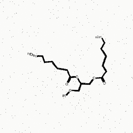 CCCCCCCCCCCCCCCC(=O)OCC(COC(C)C)OC(=O)CCCCCCCCCCCCCCC